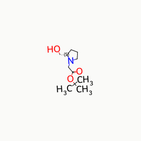 CC(C)(C)OC(=O)CN1CCC[C@H]1CO